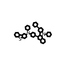 c1ccc(-c2ccc3c(c2)c2c(-c4ccc(N(c5ccccc5)c5ccc6sc7ccccc7c6c5)cc4)cc4ccccc4c2n3-c2ccccc2)cc1